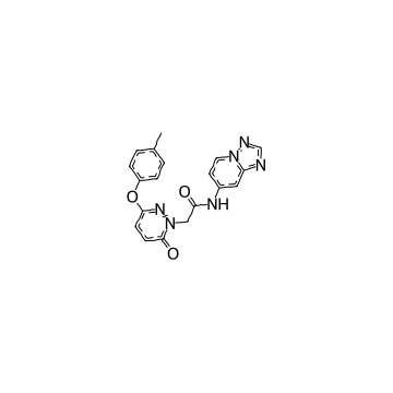 Cc1ccc(Oc2ccc(=O)n(CC(=O)Nc3ccn4ncnc4c3)n2)cc1